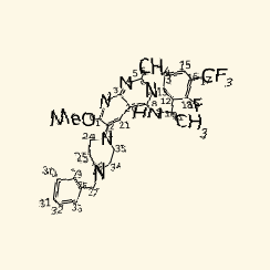 COc1nc2nc(C)nc(N[C@H](C)c3cccc(C(F)(F)F)c3F)c2cc1N1CCN(Cc2ccccc2)CC1